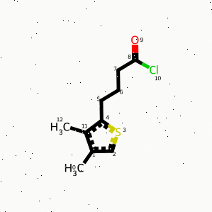 Cc1csc(CCCC(=O)Cl)c1C